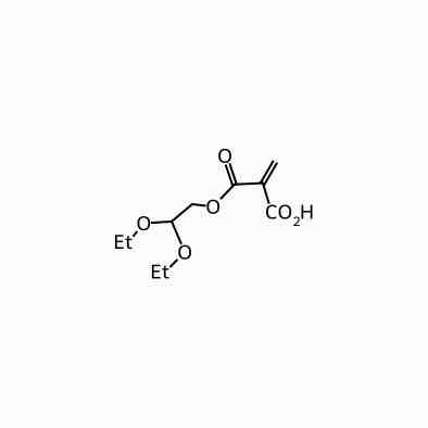 C=C(C(=O)O)C(=O)OCC(OCC)OCC